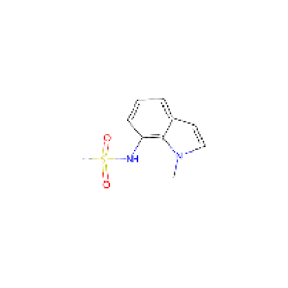 Cn1ccc2cccc(NS(C)(=O)=O)c21